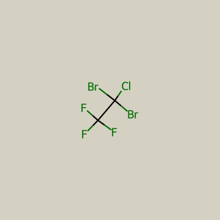 FC(F)(F)C(Cl)(Br)Br